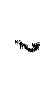 N#Cc1ccc(O[C@@H]2CCC(C(=O)Nc3ccc(N4CCC(CN5CCN(c6ccc7c(c6)C(=O)N(C6CCC(=O)NC6=O)C7=O)CC5)CC4)cn3)C2)cc1Cl